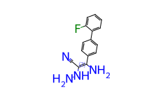 N#C/C(NN)=C(/N)c1ccc(-c2ccccc2F)cc1